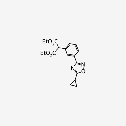 CCOC(=O)C(C(=O)OCC)c1cccc(-c2noc(C3CC3)n2)c1